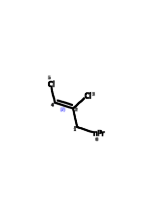 CCC[CH]/C(Cl)=C/Cl